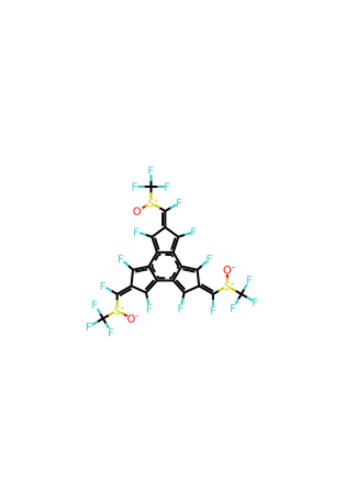 [O-][S+](C(F)=C1C(F)=c2c3c(c4c(c2=C1F)=C(F)C(=C(F)[S+]([O-])C(F)(F)F)C=4F)=C(F)C(=C(F)[S+]([O-])C(F)(F)F)C=3F)C(F)(F)F